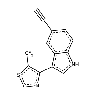 C#Cc1ccc2[nH]cc(-c3ncsc3C(F)(F)F)c2c1